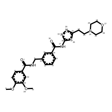 COc1ccc(C(=O)NCc2cccc(C(=O)Nc3nnc(CCN4CCOCC4)s3)c2)cc1OC